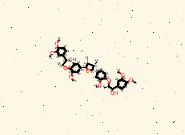 COc1ccc([C@@H](O)[C@@H](C)Oc2ccc([C@@H]3O[C@@H](c4ccc(O[C@H](C)[C@H](O)c5ccc(OC)c(OC)c5)c(OC)c4)[C@H](C)[C@H]3C)cc2OC)cc1OC